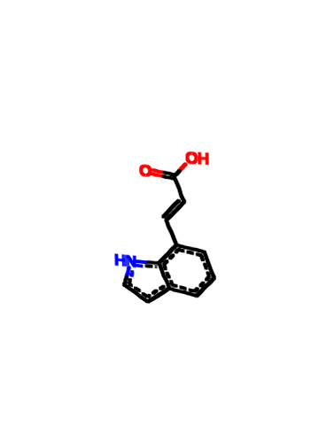 O=C(O)C=Cc1cccc2cc[nH]c12